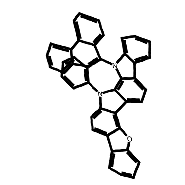 c1ccc(-n2c3ccc4c5ccccc5oc4c3c3ccc4c5ccccc5n(-c5cc6ccccc6c6ccccc56)c4c32)cc1